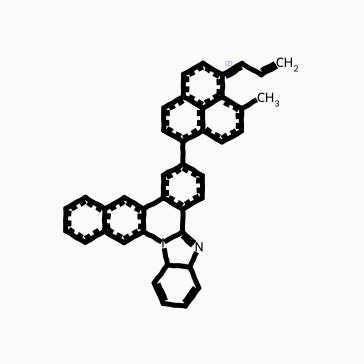 C=C/C=c1/ccc2ccc(-c3ccc4c(c3)-c3cc5ccccc5cc3I3C4=NC4C=CC=CC43)c3ccc(C)c1c23